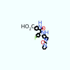 O=C1Nc2cc(C(=O)O)ccc2/C1=C(/Nc1ccc2c(c1)CCN2C(=O)CN1CCCCC1)c1ccc(F)cc1